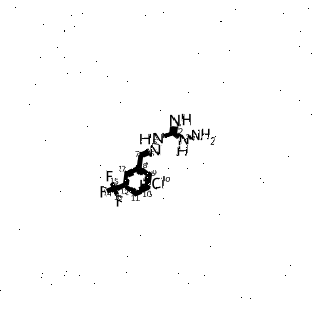 Cl.N=C(NN)N/N=C/c1cccc(C(F)(F)F)c1